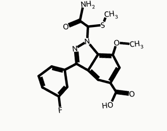 COc1cc(C(=O)O)cc2c(-c3cccc(F)c3)nn(C(SC)C(N)=O)c12